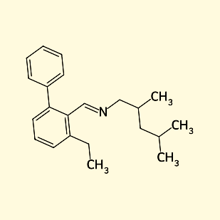 CCc1cccc(-c2ccccc2)c1C=NCC(C)CC(C)C